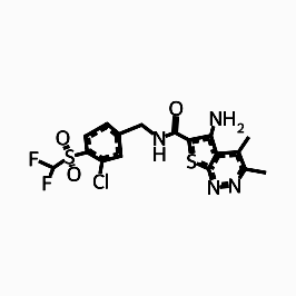 Cc1nnc2sc(C(=O)NCc3ccc(S(=O)(=O)C(F)F)c(Cl)c3)c(N)c2c1C